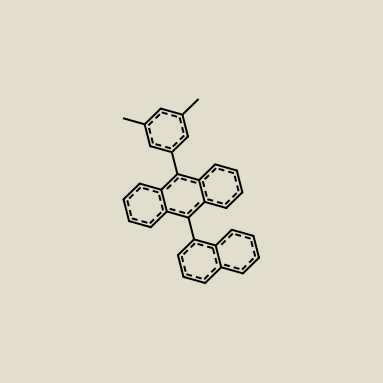 Cc1cc(C)cc(-c2c3ccccc3c(-c3cccc4ccccc34)c3ccccc23)c1